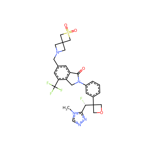 Cn1cnnc1[C@H](F)C1(c2cccc(N3Cc4c(cc(CN5CC6(C5)CS(=O)(=O)C6)cc4C(F)(F)F)C3=O)c2)COC1